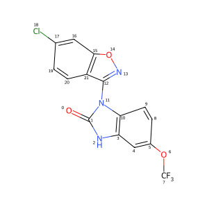 O=c1[nH]c2cc(OC(F)(F)F)ccc2n1-c1noc2cc(Cl)ccc12